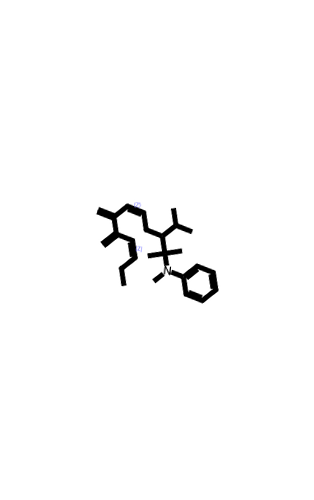 C=C(/C=C\CC)C(=C)/C=C\CC(C(C)C)C(C)(C)N(C)c1ccccc1